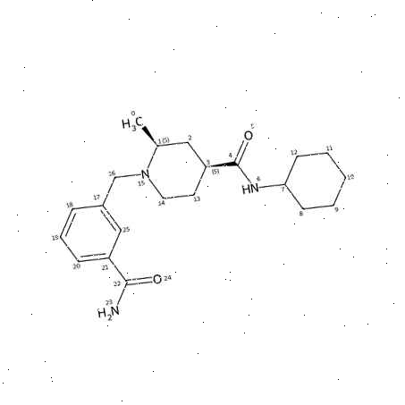 C[C@H]1C[C@@H](C(=O)NC2CCCCC2)CCN1Cc1cccc(C(N)=O)c1